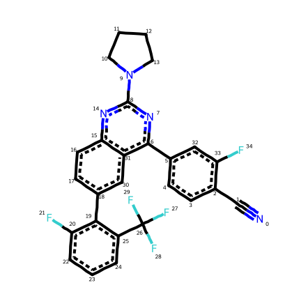 N#Cc1ccc(-c2nc(N3CCCC3)nc3ccc(-c4c(F)cccc4C(F)(F)F)cc23)cc1F